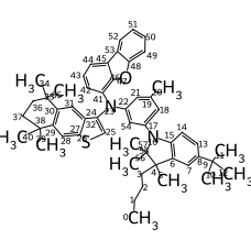 CCCCC1(C)c2cc(C(C)(C)C)ccc2N(c2cc(C)cc(N(c3csc4cc5c(cc34)C(C)(C)CCC5(C)C)c3cccc4c3oc3ccccc34)c2)C1(C)C